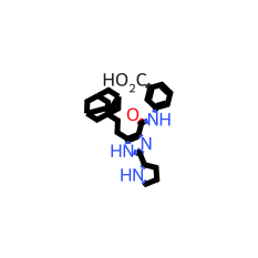 O=C(O)c1cccc(NC(=O)c2nc(C3CCCN3)[nH]c2CCC23CC4CC(CC(C4)C2)C3)c1